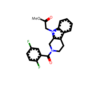 COC(=O)Cn1c2c(c3ccccc31)CCN(C(=O)c1cc(F)ccc1F)C2